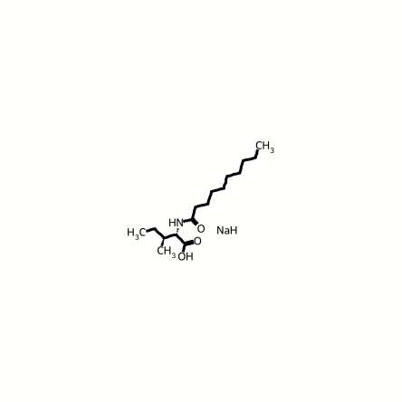 CCCCCCCCCC(=O)N[C@H](C(=O)O)[C@@H](C)CC.[NaH]